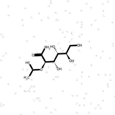 CC(S)O[C@@H](C(N)=O)[C@@H](O)[C@H](O)[C@H](O)CO